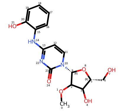 COC1C(O)[C@@H](CO)O[C@H]1n1ccc(Nc2ccccc2O)nc1=O